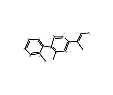 C/C=C(\C)c1cc(C)c(-c2ccccc2C)cn1